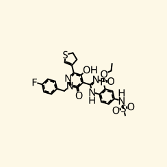 CCOP1(=O)N=C(c2c(O)c(C3=CSCC3)nn(Cc3ccc(F)cc3)c2=O)Nc2ccc(NS(C)(=O)=O)cc21